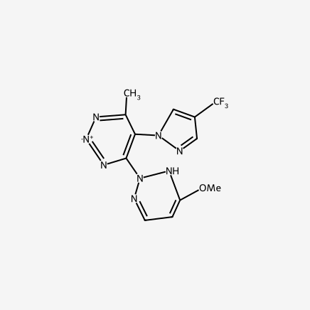 COC1=CC=NN(C2=C(n3cc(C(F)(F)F)cn3)C(C)=N[N+]=N2)N1